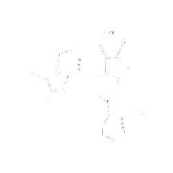 COc1ccccc1C(=O)OC1Cc2ccccc2C1Oc1cccn2c(CO)c(C)nc12